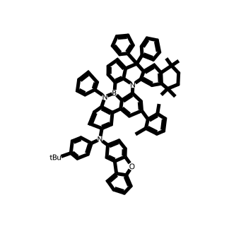 Cc1cccc(C)c1-c1cc2c3c(c1)N1c4cc5c(cc4C(c4ccccc4)(c4ccccc4)c4cccc(c41)B3N(c1ccccc1)c1ccc(N(c3ccc(C(C)(C)C)cc3)c3ccc4oc6ccccc6c4c3)cc1-2)C(C)(C)CCC5(C)C